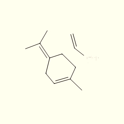 C=CCCCCCCC.CC1=CCC(=C(C)C)CC1